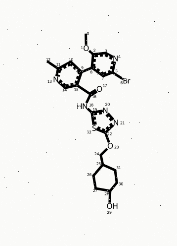 COc1cnc(Br)cc1-c1cc(C)ncc1C(=O)Nc1nnc(OCC2CCC(O)CC2)s1